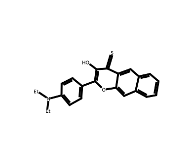 CCN(CC)c1ccc(-c2oc3cc4ccccc4cc3c(=S)c2O)cc1